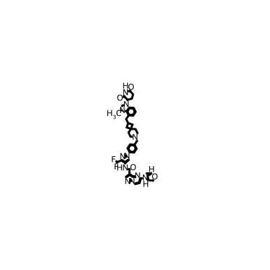 CN1CN(C2CCC(=O)NC2=O)c2cccc(CC3CC4(CCN(Cc5ccc(-n6cc(NC(=O)c7cnn8ccc(N9C[C@H]%10C[C@@H]9CO%10)nc78)c(C(F)F)n6)cc5)CC4)C3)c21